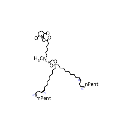 CCCCC/C=C\C/C=C\CCCCCCCCC1(CCCCCCCC/C=C\C/C=C\CCCCC)OC[C@H](CN(C)CCCCCC(=O)ON2C(=O)CCC2=O)O1